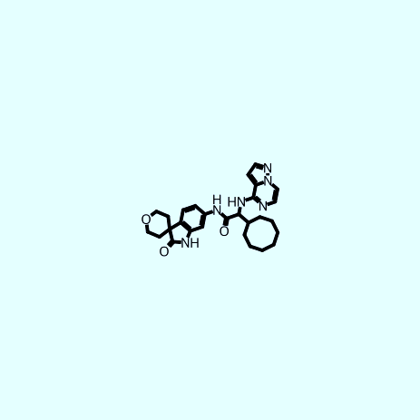 O=C(Nc1ccc2c(c1)NC(=O)C21CCOCC1)C(Nc1nccn2nccc12)C1CCCCCCC1